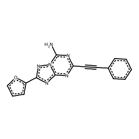 Nc1nc(C#Cc2ccccc2)nc2nc(-c3ccco3)nn12